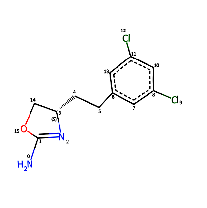 NC1=N[C@@H](CCc2cc(Cl)cc(Cl)c2)CO1